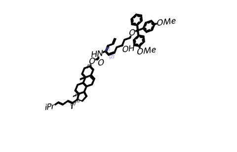 C=C/C=C(\C=C/CC(O)CCOC(c1ccccc1)(c1ccc(OC)cc1)c1ccc(OC)cc1)NC(=O)O[C@@H]1CCC2(C)C(=CCC3C2CC[C@]2(C)C3CC[C@H]2[C@@H](C)CCCC(C)C)C1